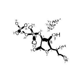 O=C1O[C@H]([C@@H](O)CO)C(O)=C1OP(=O)([O-])OP(=O)([O-])[O-].[Na+].[Na+].[Na+]